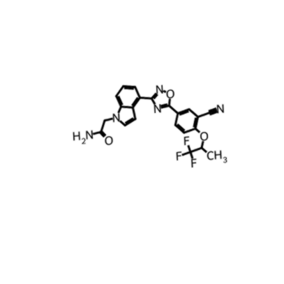 CC(Oc1ccc(-c2nc(-c3cccc4c3ccn4CC(N)=O)no2)cc1C#N)C(F)(F)F